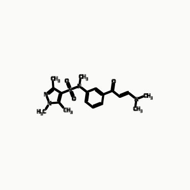 Cc1nn(C)c(C)c1S(=O)(=O)N(C)c1cccc(C(=O)C=CN(C)C)c1